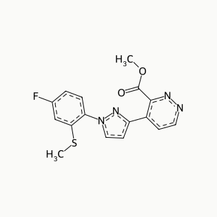 COC(=O)c1nnccc1-c1ccn(-c2ccc(F)cc2SC)n1